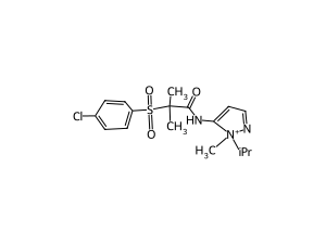 CC(C)[N+]1(C)N=CC=C1NC(=O)C(C)(C)S(=O)(=O)c1ccc(Cl)cc1